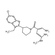 CCn1c(C2CCCN(C(=O)C(/C=C(\N)NC)=C/N)C2)cc2cc(Cl)ccc21